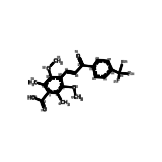 COc1c(C)c(C(=O)O)c(C)c(OC)c1C=CC(=O)c1ccc(C(F)(F)F)cc1